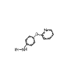 CC(C)Nc1ccc(Oc2ccccn2)cc1